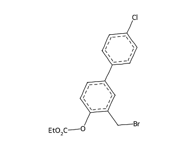 CCOC(=O)Oc1ccc(-c2ccc(Cl)cc2)cc1CBr